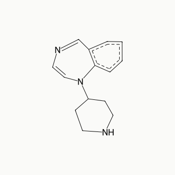 C1=CN(C2CCNCC2)c2ccccc2C=N1